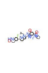 COc1cc(C(=O)N2CC3CCC2C3N)cc2nc(-c3cc4ccc(-c5cc6c(cc5F)NC(=O)CC6)nc4n3CC3CC3)n(C)c12